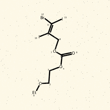 CCOCCOC(=O)OCC(I)=C(Br)I